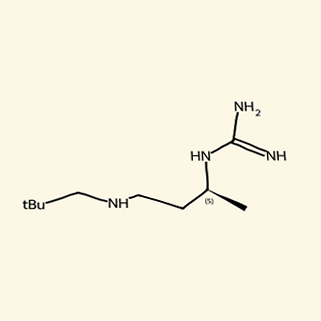 C[C@@H](CCNCC(C)(C)C)NC(=N)N